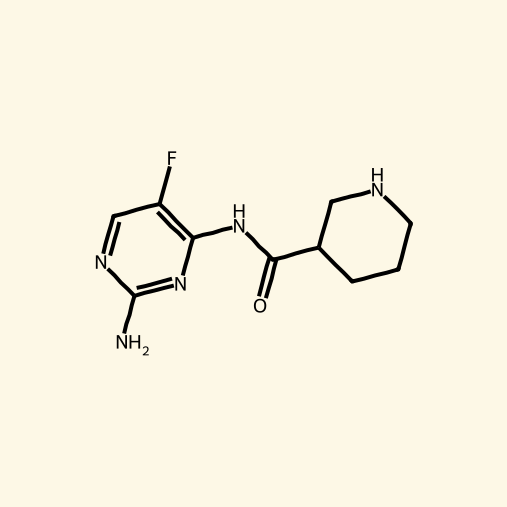 Nc1ncc(F)c(NC(=O)C2CCCNC2)n1